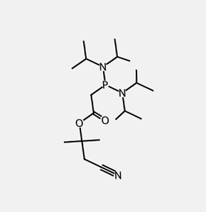 CC(C)N(C(C)C)P(CC(=O)OC(C)(C)CC#N)N(C(C)C)C(C)C